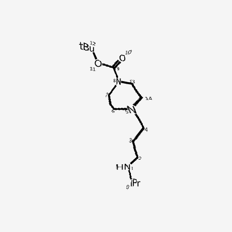 CC(C)NCCCN1CCN(C(=O)OC(C)(C)C)CC1